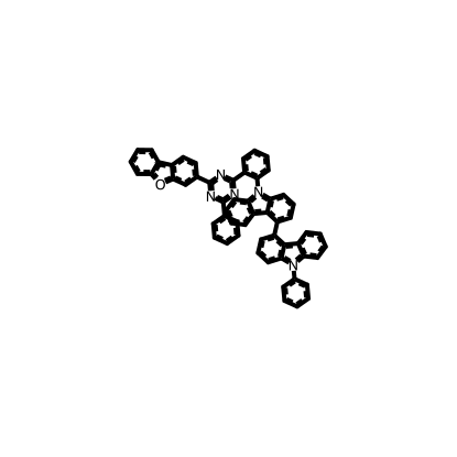 c1ccc(-c2nc(-c3ccc4c(c3)oc3ccccc34)nc(-c3ccccc3-n3c4ccccc4c4c(-c5cccc6c5c5ccccc5n6-c5ccccc5)cccc43)n2)cc1